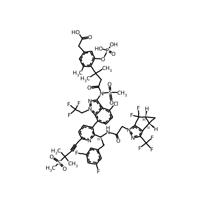 Cc1cc(CC(=O)O)cc(OP(=O)(O)O)c1C(C)(C)CC(=O)N(c1nn(CC(F)(F)F)c2c(-c3ccc(C#CC(C)(C)S(C)(=O)=O)nc3[C@H](Cc3cc(F)cc(F)c3)NC(=O)Cn3nc(C(F)(F)F)c4c3C(F)(F)[C@@H]3C[C@H]43)ccc(Cl)c12)S(C)(=O)=O